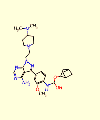 COc1cc(-c2nn(CCN3CCC(N(C)C)CC3)c3ncnc(N)c23)ccc1NC(O)OC1CC2CC1C2